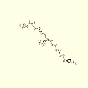 CC/C=C\CCO/C=C(\C)CCCCCCCCC